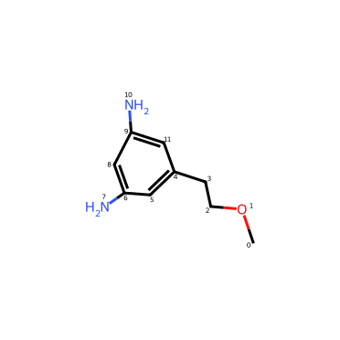 COCCc1cc(N)cc(N)c1